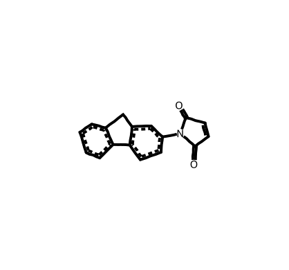 O=C1C=CC(=O)N1c1ccc2c(c1)Cc1ccccc1-2